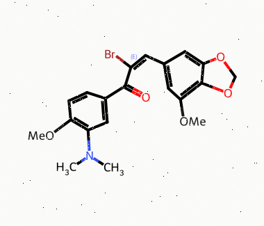 COc1ccc(C(=O)/C(Br)=C\c2cc(OC)c3c(c2)OCO3)cc1N(C)C